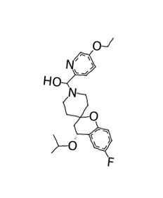 CCOc1ccc(C(O)N2CCC3(CC2)C[C@@H](OC(C)C)c2cc(F)ccc2O3)nc1